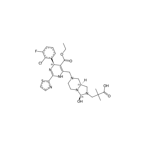 CCOC(=O)C1=C(CN2CCN3[C@@H](C2)CN(CC(C)(C)C(=O)O)[C@H]3O)NC(c2nccs2)=N[C@H]1c1cccc(F)c1Cl